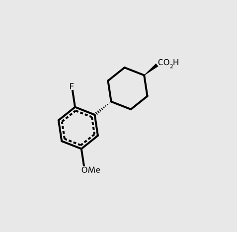 COc1ccc(F)c([C@H]2CC[C@H](C(=O)O)CC2)c1